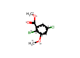 COC(=O)c1cc(Cl)cc(OC)c1Br